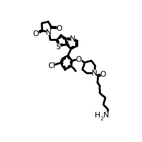 Cc1cc(Cl)cc(-c2ccnc3cc(CN4C(=O)CCC4=O)sc23)c1OC1CCN(C(=O)CCCCCCN)CC1